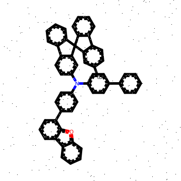 CC(C)(C)c1ccc2c(c1)C1(c3ccccc3-c3ccc(N(c4ccc(-c5ccccc5)cc4)c4ccc(-c5cccc6c5oc5ccccc56)cc4)cc31)c1ccccc1-2